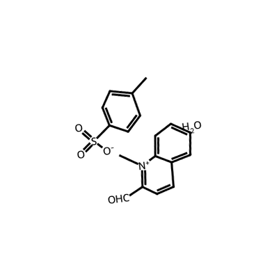 C[n+]1c(C=O)ccc2ccccc21.Cc1ccc(S(=O)(=O)[O-])cc1.O